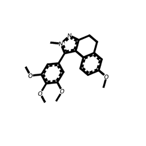 COc1ccc2c(c1)CCc1nn(C)c(-c3cc(OC)c(OC)c(OC)c3)c1-2